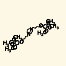 COc1cc(OCCCCN2CCCN(CCCCOc3cc(OC)c(OC)c(OC)c3)CC2)cc(OC)c1OC